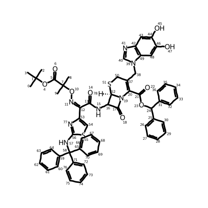 CC(C)(C)OC(=O)C(C)(C)O/N=C(\C(=O)NC1C(=O)N2C(C(=O)OC(c3ccccc3)c3ccccc3)=C(Cn3cnc4cc(O)c(O)cc43)CS[C@H]12)c1csc(NC(c2ccccc2)(c2ccccc2)c2ccccc2)n1